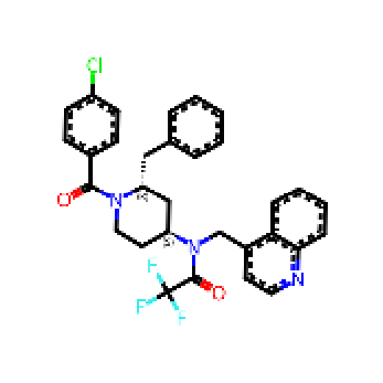 O=C(c1ccc(Cl)cc1)N1CC[C@H](N(Cc2ccnc3ccccc23)C(=O)C(F)(F)F)C[C@H]1Cc1ccccc1